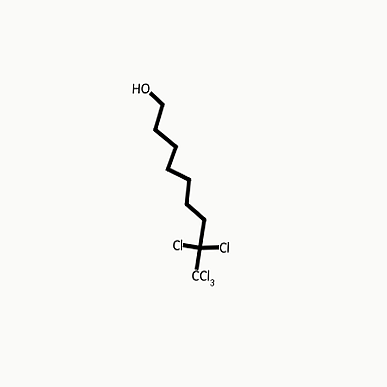 OCCCCCCCC(Cl)(Cl)C(Cl)(Cl)Cl